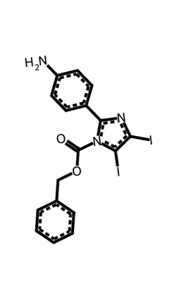 Nc1ccc(-c2nc(I)c(I)n2C(=O)OCc2ccccc2)cc1